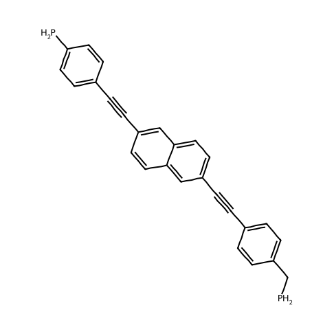 PCc1ccc(C#Cc2ccc3cc(C#Cc4ccc(P)cc4)ccc3c2)cc1